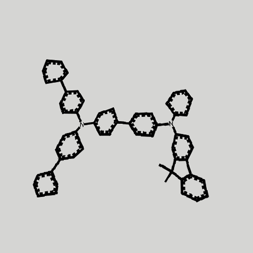 CC1(C)c2ccccc2-c2ccc(N(c3ccccc3)c3ccc(-c4ccc(N(c5ccc(-c6ccccc6)cc5)c5ccc(-c6ccccc6)cc5)cc4)cc3)cc21